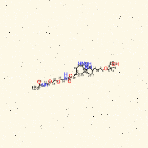 CC(C)(C)CC(C)(CO)COCCCCC1CCCC(C23CCC4C(CCC2NNN3)C4COC(=O)NCCOCCOCCNC(=O)C(C)(C)C)C1